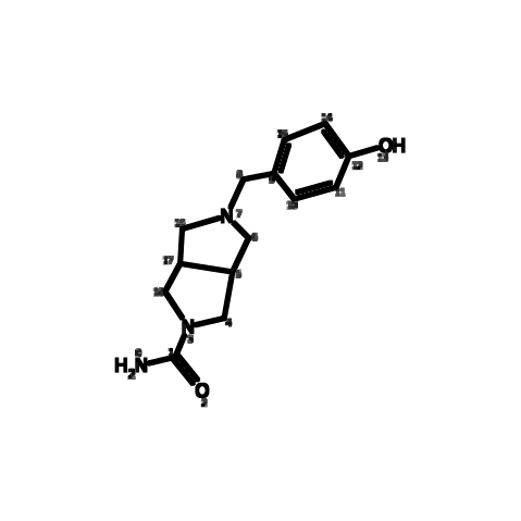 NC(=O)N1CC2CN(Cc3ccc(O)cc3)CC2C1